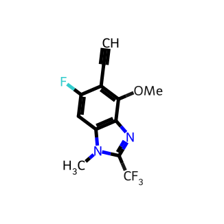 C#Cc1c(F)cc2c(nc(C(F)(F)F)n2C)c1OC